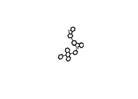 c1ccc(-c2c3ccccc3c(-c3cccc(-n4c5ccccc5c5cc(-c6ccc7sc8ccccc8c7c6)ccc54)c3)c3ccccc23)cc1